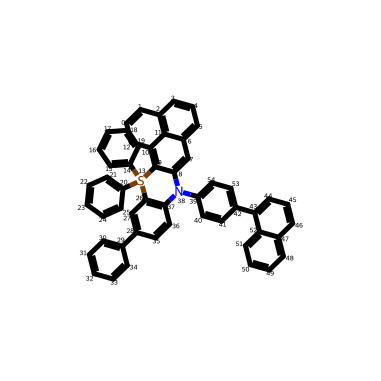 C1=Cc2cccc3cc4c(c(c23)C1)S(c1ccccc1)(c1ccccc1)c1cc(-c2ccccc2)ccc1N4c1ccc(-c2cccc3ccccc23)cc1